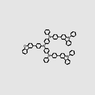 c1ccc(N(c2ccc(-c3ccc4c(c3)c3ccccc3n4-c3ccccc3)cc2)c2ccc(N(c3ccc(-c4ccc5oc6ccccc6c5c4)cc3)c3ccc(N(c4ccccc4)c4ccc(-c5ccc6c(c5)c5ccccc5n6-c5ccccc5)cc4)cc3)cc2)cc1